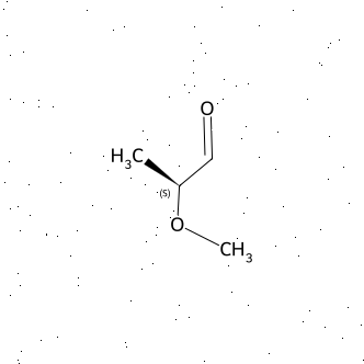 CO[C@@H](C)C=O